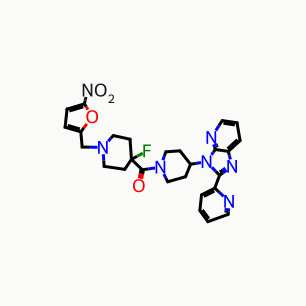 O=C(N1CCC(n2c(-c3ccccn3)nc3cccnc32)CC1)C1(F)CCN(Cc2ccc([N+](=O)[O-])o2)CC1